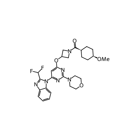 CO[C@H]1CC[C@@H](C(=O)N2CC(Oc3cc(-n4c(C(F)F)nc5ccccc54)nc(N4CCOCC4)n3)C2)CC1